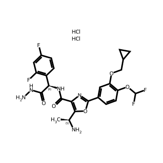 C[C@H](N)c1oc(-c2ccc(OC(F)F)c(OCC3CC3)c2)nc1C(=O)N[C@@H](C(=O)NN)c1ccc(F)cc1F.Cl.Cl